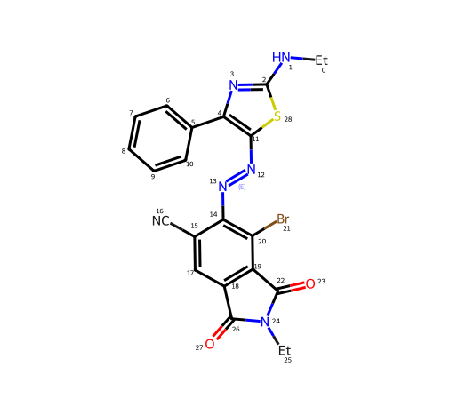 CCNc1nc(-c2ccccc2)c(/N=N/c2c(C#N)cc3c(c2Br)C(=O)N(CC)C3=O)s1